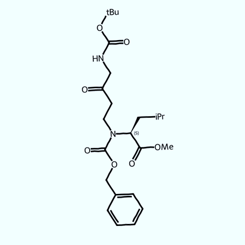 COC(=O)[C@H](CC(C)C)N(CCC(=O)CNC(=O)OC(C)(C)C)C(=O)OCc1ccccc1